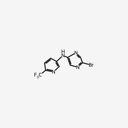 FC(F)(F)c1ccc(Nc2cnc(Br)cn2)cn1